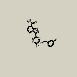 CCc1nnc(-c2nnc3c(C(N)=O)cccn23)nc1NCc1cccc(F)c1